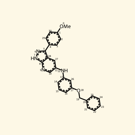 COc1ccc(-c2n[nH]c3ncc(Nc4cccc(OCc5ccccc5)c4)cc23)cc1